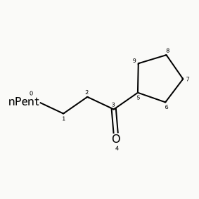 CCCCCCCC(=O)C1CCCC1